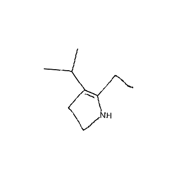 CCC1=C(C(C)C)CCN1